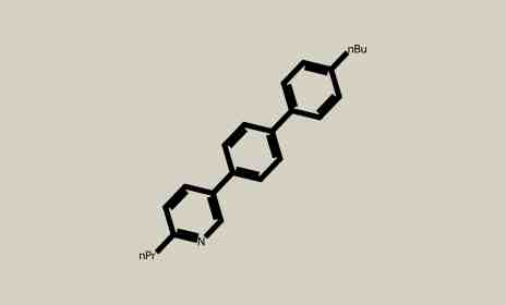 CCCCc1ccc(-c2ccc(-c3ccc(CCC)nc3)cc2)cc1